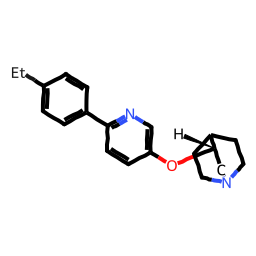 CCc1ccc(-c2ccc(O[C@H]3CN4CCC3CC4)cn2)cc1